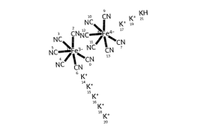 N#[C][Fe-3]([C]#N)([C]#N)([C]#N)([C]#N)[C]#N.N#[C][Fe-4]([C]#N)([C]#N)([C]#N)([C]#N)[C]#N.[K+].[K+].[K+].[K+].[K+].[K+].[K+].[KH]